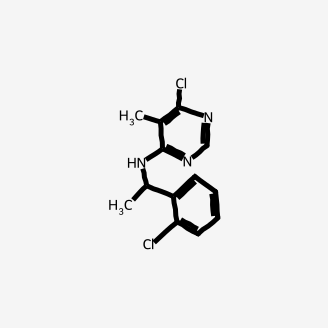 Cc1c(Cl)ncnc1NC(C)c1ccccc1Cl